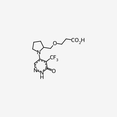 O=C(O)CCOCC1CCCN1c1cn[nH]c(=O)c1C(F)(F)F